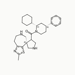 Cc1nc2c(s1)[C@]1(CNCC2)CNCC1C(=O)N1CC[C@@H](c2ccccc2)C[C@H]1C1CCCCC1